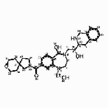 CCN1CCN(C[C@@H](O)[C@@H]2Cc3ccccc3CN2)C(O)c2ccc(C(=O)N3CCC4(CCOCC4)C3)cc21.Cl